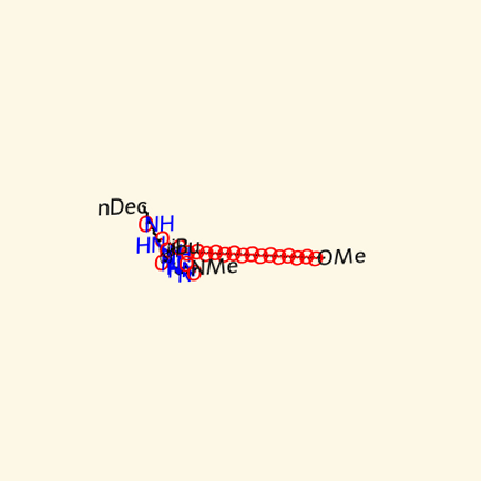 CCCCCCCCCCCCCCCC(=O)NCCCCCC(=O)NCCCC[C@H](NC(=O)[C@@H](NC(=O)CCOCCOCCOCCOCCOCCOCCOCCOCCOCCOCCOCCOCCOCCOCCOCCOC)[C@@H](C)CC)C(=O)N1CCN(c2ccc3ncn(CC(=O)NC)c(=O)c3c2)CC1